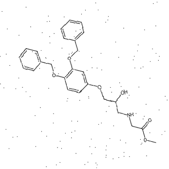 COC(=O)CNCC(O)COc1ccc(OCc2ccccc2)c(OCc2ccccc2)c1